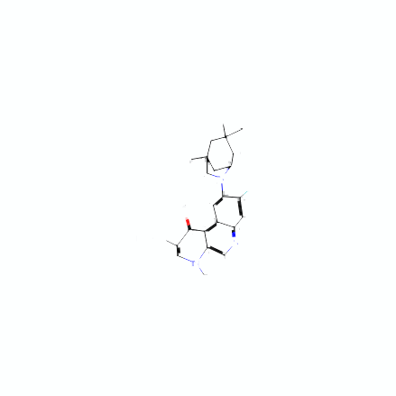 CCOC(=O)c1cn(C)c2cnc3cc(F)c(N4CC5(C)CC4CC(C)(C)C5)cc3c2c1=O